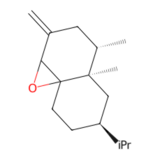 C=C1C[C@H](C)[C@@]2(C)C[C@@H](C(C)C)CCC23OC13